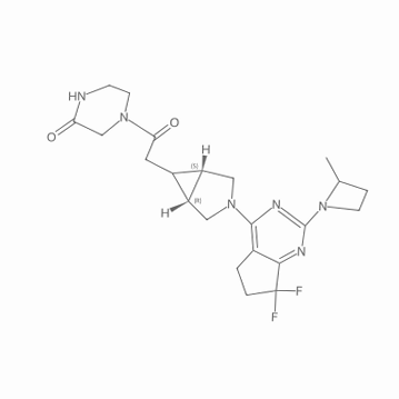 CC1CCN1c1nc(N2C[C@@H]3C(CC(=O)N4CCNC(=O)C4)[C@@H]3C2)c2c(n1)C(F)(F)CC2